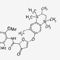 COc1cccc(OC)c1NC(=O)C1OC(Oc2cc3c(cc2C)[Si](C)(C)C(C)C[Si]3(C)C)=CC1=O